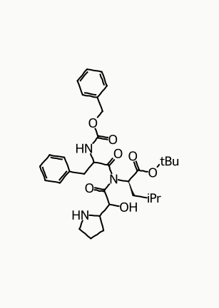 CC(C)C[C@H](C(=O)OC(C)(C)C)N(C(=O)C(Cc1ccccc1)NC(=O)OCc1ccccc1)C(=O)C(O)C1CCCN1